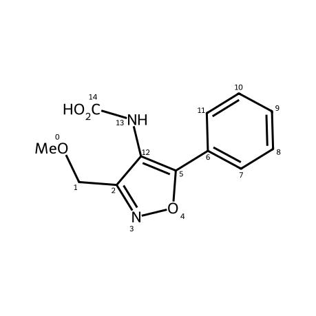 COCc1noc(-c2ccccc2)c1NC(=O)O